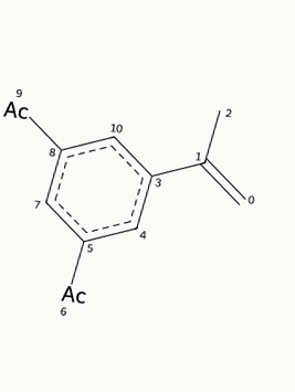 C=C(C)c1cc(C(C)=O)cc(C(C)=O)c1